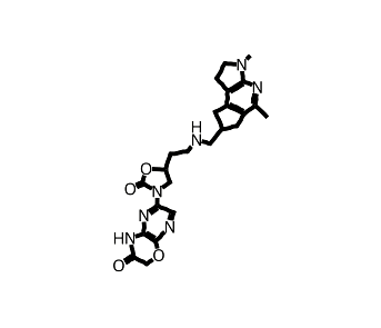 Cc1nc2c(c3c1CC(CNCCC1CN(c4cnc5c(n4)NC(=O)CO5)C(=O)O1)C3)CCN2C